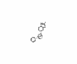 Cc1nc2ccc([C]3C[N+]4(c5ccccc5)CCC3CC4)cc2s1